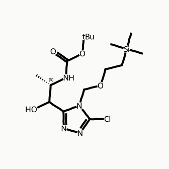 C[C@H](NC(=O)OC(C)(C)C)C(O)c1nnc(Cl)n1COCC[Si](C)(C)C